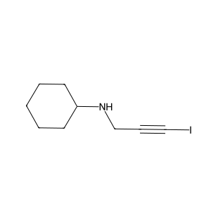 IC#CCNC1CCCCC1